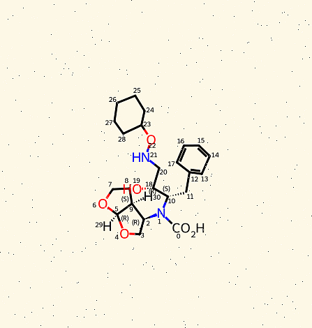 O=C(O)N([C@H]1CO[C@H]2OCC[C@H]21)[C@@H](Cc1ccccc1)[C@H](O)CNOC1CCCCC1